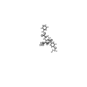 CCC(C)Oc1ccc(S(=O)(=O)N2CCN(C(=O)OCc3ccccc3)CC2C(=O)NO)cc1